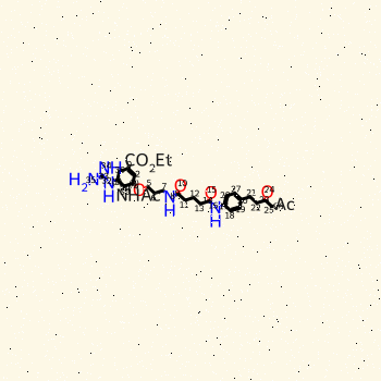 CCOC(=O)C1=C[C@@H](OCCCNC(=O)CCCC(=O)Nc2ccc(CCC(=O)CC(C)=O)cc2)[C@H](NC(C)=O)[C@@H](NC(=N)N)C1